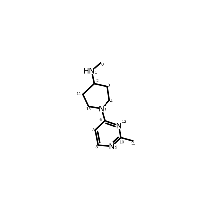 CNC1CCN(c2ccnc(C)n2)CC1